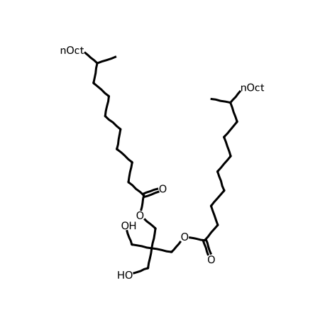 CCCCCCCCC(C)CCCCCCCC(=O)OCC(CO)(CO)COC(=O)CCCCCCCC(C)CCCCCCCC